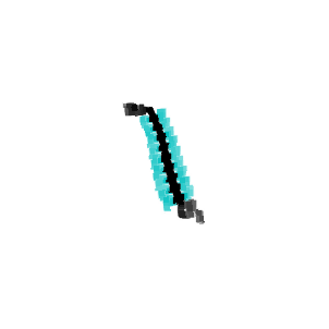 CCC(C)CC(F)(F)C(F)(F)C(F)(F)C(F)(F)C(F)(F)C(F)(F)C(F)(F)C(F)(F)C(F)(F)C(F)(F)F